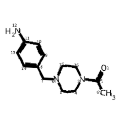 CC(=O)N1CCN(Cc2ccc(N)cc2)CC1